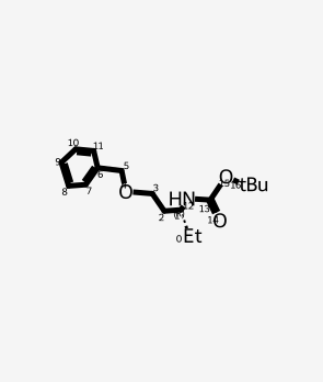 CC[C@H](CCOCc1ccccc1)NC(=O)OC(C)(C)C